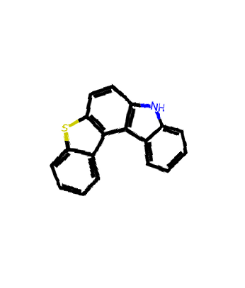 c1ccc2c(c1)[nH]c1ccc3sc4ccccc4c3c12